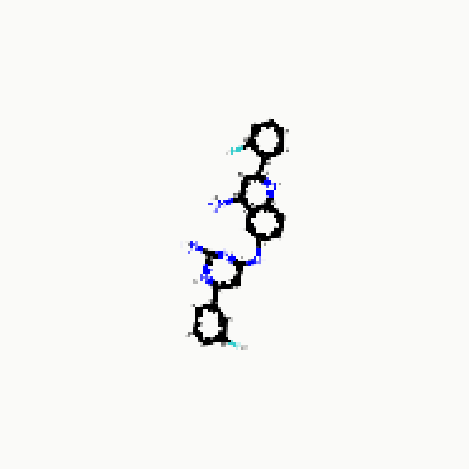 Nc1nc(Nc2ccc3nc(-c4ccccc4F)cc(N)c3c2)cc(-c2cccc(F)c2)n1